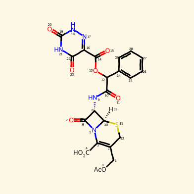 CC(=O)OCC1=C(C(=O)O)N2C(=O)[C@H](NC(=O)C(OC(=O)c3n[nH]c(=O)[nH]c3=O)c3ccccc3)[C@H]2SC1